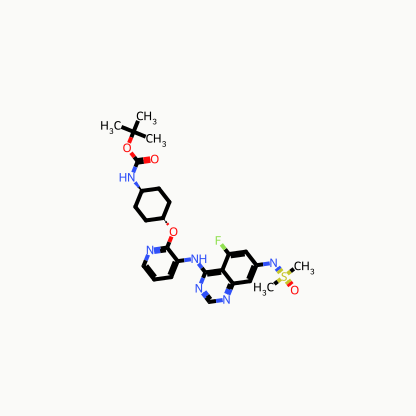 CC(C)(C)OC(=O)N[C@H]1CC[C@H](Oc2ncccc2Nc2ncnc3cc(N=S(C)(C)=O)cc(F)c23)CC1